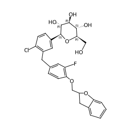 OC[C@H]1O[C@@H](c2ccc(Cl)c(Cc3ccc(OCC4Cc5ccccc5O4)c(F)c3)c2)[C@H](O)[C@@H](O)[C@@H]1O